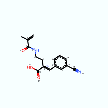 C=C(C)C(=O)NCC/C(=C\c1cccc(C#N)c1)C(=O)O